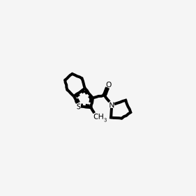 Cc1sc2c(c1C(=O)N1CCCC1)CCCC2